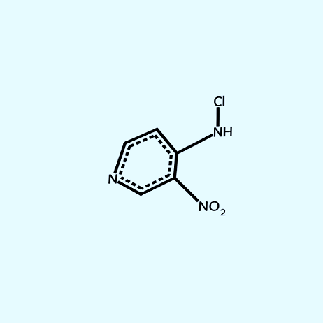 O=[N+]([O-])c1cnccc1NCl